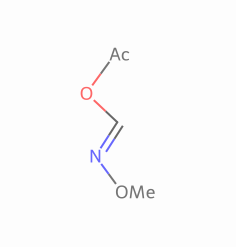 CON=COC(C)=O